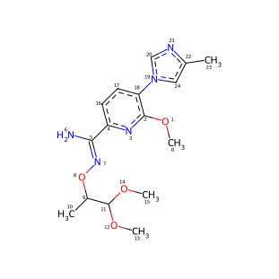 COc1nc(C(N)=NOC(C)C(OC)OC)ccc1-n1cnc(C)c1